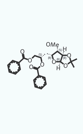 CO[C@@H]1[C@H]2OC(C)(C)O[C@H]2O[C@@H]1C[C@@H](COC(=O)c1ccccc1)OC(=O)c1ccccc1